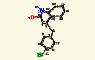 Cn1c(=O)cc(Cc2ccc(Br)cc2)c2ccccc21